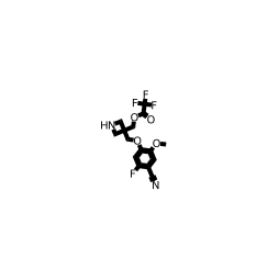 COc1cc(C#N)c(F)cc1OCC1(COC(=O)C(F)(F)F)CNC1